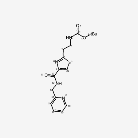 CC(C)(C)OC(=O)NCCc1nc(C(=O)NCc2ccccn2)cs1